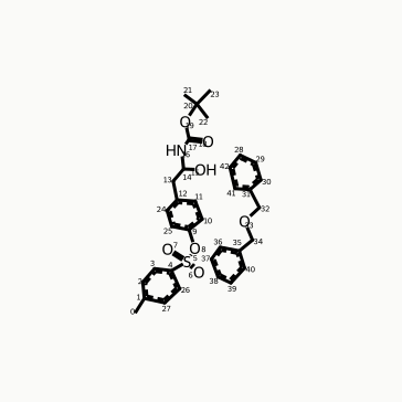 Cc1ccc(S(=O)(=O)Oc2ccc(CC(O)NC(=O)OC(C)(C)C)cc2)cc1.c1ccc(COCc2ccccc2)cc1